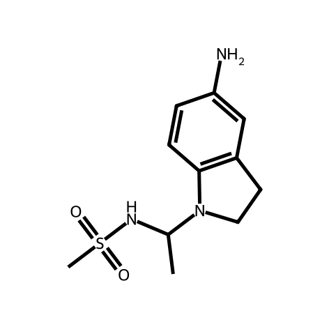 CC(NS(C)(=O)=O)N1CCc2cc(N)ccc21